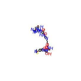 CC[C@@H]1c2c(C#N)ncn2-c2cnc(Nc3ccc(C(=O)NC4CCN(CCCCCOCC(=O)NC(C(=O)N5C[C@H](O)C[C@H]5C(=O)NCc5ccc(-c6scnc6C)cc5)C(C)(C)C)CC4)cc3OC)nc2N1C1CCCC1